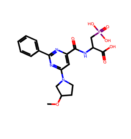 COC1CCN(c2cc(C(=O)NC(CP(=O)(O)O)C(=O)O)nc(-c3ccccc3)n2)C1